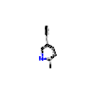 C#Cc1ccc(C)nc1